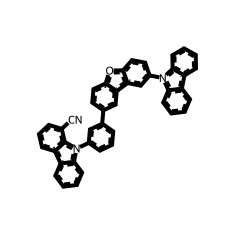 N#Cc1cccc2c3ccccc3n(-c3cccc(-c4ccc5oc6ccc(-n7c8ccccc8c8ccccc87)cc6c5c4)c3)c12